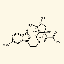 COC(=O)C1=CN2CCc3c([nH]c4ccc(OC)cc34)[C@@H]2[C@@H]2[C@@H](C)[C@@H](O)C[C@H]12